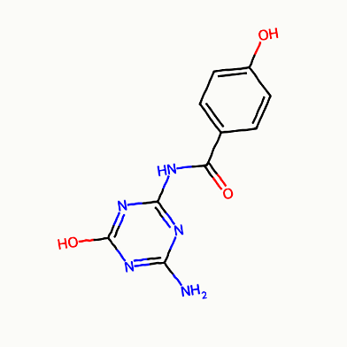 Nc1nc(O)nc(NC(=O)c2ccc(O)cc2)n1